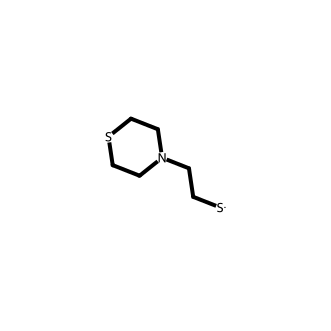 [S]CCN1CCSCC1